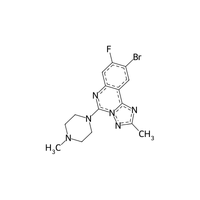 Cc1nc2c3cc(Br)c(F)cc3nc(N3CCN(C)CC3)n2n1